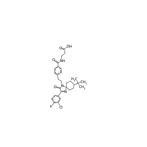 CC(C)(C)C1CCC2(CC1)N=C(c1ccc(F)c(Cl)c1)C(=O)N2CCc1ccc(C(=O)NCCC(=O)O)cc1